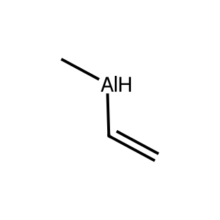 C=[CH][AlH][CH3]